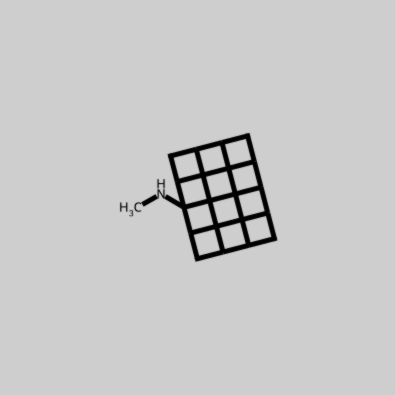 CNC12C3CC4C5CC6C7C8CC9C%10CC1C%101C98C78C56C43C218